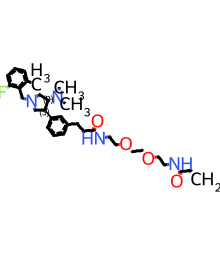 C=CC(=O)NCCOCCOCCNC(=O)CCc1cccc([C@H]2CN(Cc3c(C)cccc3F)C[C@@H]2N(C)C)c1